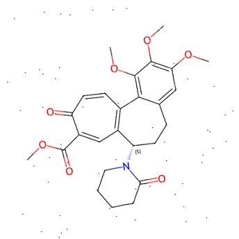 COC(=O)c1cc2c(ccc1=O)-c1c(cc(OC)c(OC)c1OC)CC[C@@H]2N1CCCCC1=O